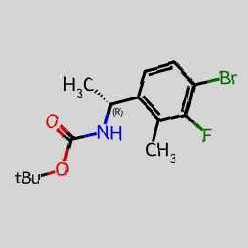 Cc1c([C@@H](C)NC(=O)OC(C)(C)C)ccc(Br)c1F